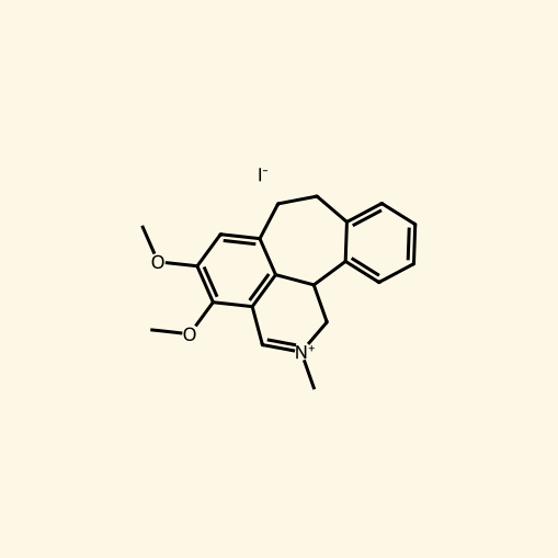 COc1cc2c3c(c1OC)C=[N+](C)CC3c1ccccc1CC2.[I-]